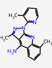 Cc1cccnc1-n1nc(C)c2c(N)c3cccc(C)c3nc21